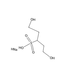 O=S(=O)(O)C(CCO)CCO.[NaH]